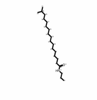 CC[CH]NC(=O)CCCCCCCCCCCCCCC(C)C